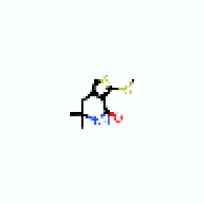 CSc1scc2c1C(=O)NC(C)(C)C2